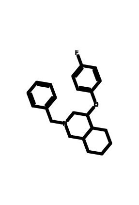 Fc1ccc(OC2CN(Cc3ccccc3)CC3CCCCC32)cc1